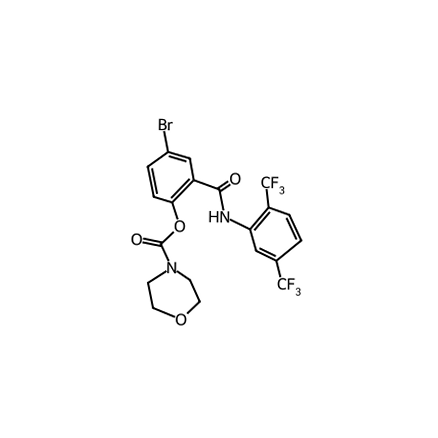 O=C(Nc1cc(C(F)(F)F)ccc1C(F)(F)F)c1cc(Br)ccc1OC(=O)N1CCOCC1